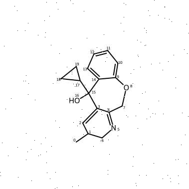 CC1C=C2C(=NC1)COc1ccccc1C2(O)C1CC1